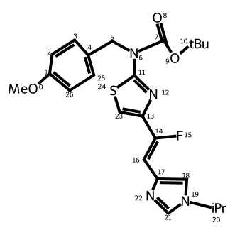 COc1ccc(CN(C(=O)OC(C)(C)C)c2nc(/C(F)=C/c3cn(C(C)C)cn3)cs2)cc1